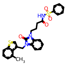 Cc1cccc2scc(Cn3c(=O)n(CCCC(=O)NS(=O)(=O)c4ccccc4)c4ccccc43)c12